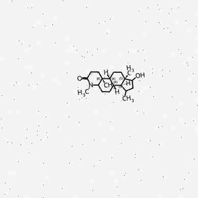 CC1CC(O)[C@@]2(C)CC[C@@H]3[C@@H](CCC4N(C)C(=O)CC[C@@]43C)[C@H]12